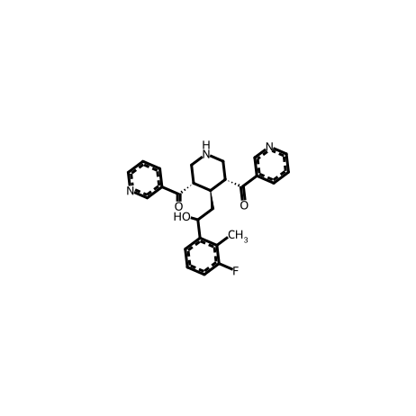 Cc1c(F)cccc1C(O)C[C@@H]1[C@@H](C(=O)c2cccnc2)CNC[C@H]1C(=O)c1cccnc1